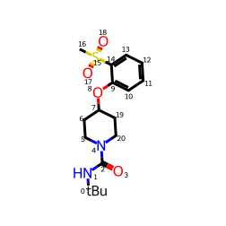 CC(C)(C)NC(=O)N1CCC(Oc2ccccc2S(C)(=O)=O)CC1